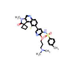 Cc1ccc(S(=O)(=O)Nc2cc(-c3ccc4ncc5c(c4c3F)C3(CCC3)C(=O)N5C)cnc2OCCCN(C)C)cc1